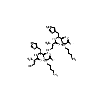 NCCCC[C@H](NC(=O)[C@H](Cc1c[nH]cn1)NC(=O)[C@@H](N)CO)C(=O)[O-].NCCCC[C@H](NC(=O)[C@H](Cc1c[nH]cn1)NC(=O)[C@@H](N)CO)C(=O)[O-].[Mn+2]